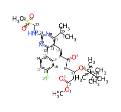 COC(=O)CC(CC(=O)C=Cc1c(-c2ccc(F)cc2)nc(NCS(C)(=O)=O)nc1C(C)C)O[Si](C)(C)C(C)(C)C